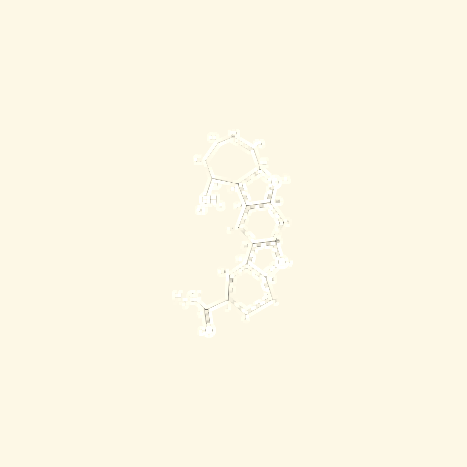 CC(=O)c1ccc2oc3cc4oc5c(c4cc3c2c1)C(C)CCC=C5